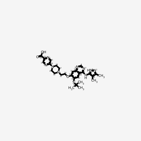 Cc1n[nH]c(Nc2ncnc3cc(OCCN4CCN(c5cnc(C(=O)O)cn5)CC4)c(SC(C)(C)C)cc23)c1C